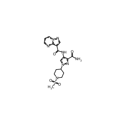 CS(=O)(=O)N1CCC(n2cc(NC(=O)c3cnn4cccnc34)c(C(N)=O)n2)CC1